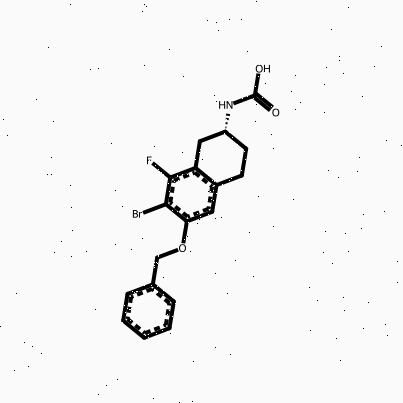 O=C(O)N[C@@H]1CCc2cc(OCc3ccccc3)c(Br)c(F)c2C1